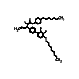 C=C/C=C(\C(F)=C(\F)CC1=CCC(CCCCCCC)CC1)c1ccc(-c2ccc(CCCCCCCCCC)c(F)c2F)cc1